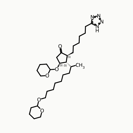 CC(CCCCCCCOC1CCCCO1)[C@@H]1[C@@H](OC2CCCCO2)CC(=O)[C@H]1CCCCCCc1nnn[nH]1